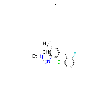 CCN(C)/C=N\c1cc(C)cc(Cc2ccccc2F)c1Cl